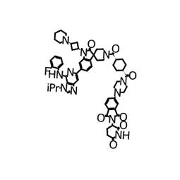 CC(C)n1cnc2cc(-c3ccc4c(c3)N([C@H]3C[C@@H](N5CCCCC5)C3)C(=O)C43CCN(C(=O)[C@H]4CC[C@@H](C(=O)N5CCN(c6ccc7c(c6)C(=O)N(C6CCC(=O)NC6=O)C7=O)CC5)CC4)CC3)nc(Nc3ccccc3F)c21